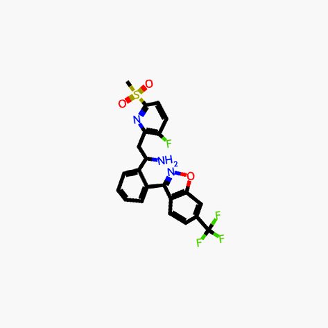 CS(=O)(=O)c1ccc(F)c(CC(N)c2ccccc2-c2noc3cc(C(F)(F)F)ccc23)n1